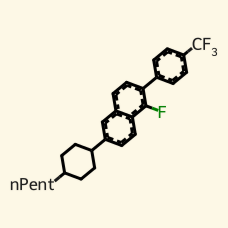 CCCCCC1CCC(c2ccc3c(F)c(-c4ccc(C(F)(F)F)cc4)ccc3c2)CC1